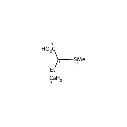 CCC(SC)C(=O)O.[CaH2]